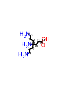 NCCCC(N)(CCCN)CCC(=O)O